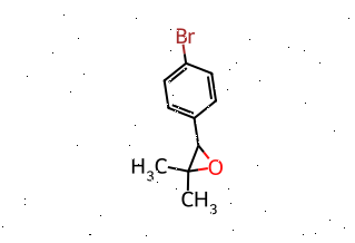 CC1(C)OC1c1ccc(Br)cc1